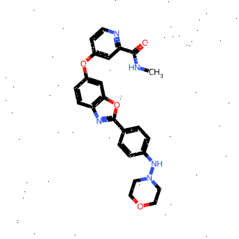 CNC(=O)c1cc(Oc2ccc3nc(-c4ccc(NN5CCOCC5)cc4)oc3c2)ccn1